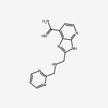 N=C(N)c1ccnc2[nH]c(CNCc3ncccn3)nc12